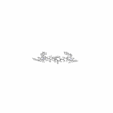 CC(C)(C)OC(=O)/N=C(/NC(=O)OC(C)(C)C)N1CC=C(c2ccc(C(=O)Nc3ccc(C4=CCN(/C(=N\C(=O)OC(C)(C)C)NC(=O)OC(C)(C)C)CC4)c(F)c3)c(F)c2)CC1